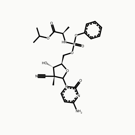 CC(C)OC(=O)[C@@H](C)NP(=O)(OC[C@H]1OC(n2ccc(N)nc2=O)[C@](C)(C#N)[C@@H]1O)Oc1ccccc1